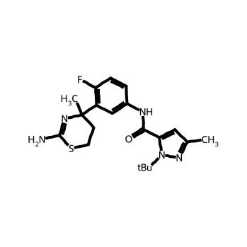 Cc1cc(C(=O)Nc2ccc(F)c(C3(C)CCSC(N)=N3)c2)n(C(C)(C)C)n1